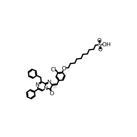 O=C1/C(=C/c2ccc(OCCCCCCCCCCS(=O)(=O)O)c(Cl)c2)N=C2C(Cc3ccccc3)=NC(c3ccccc3)=CN12